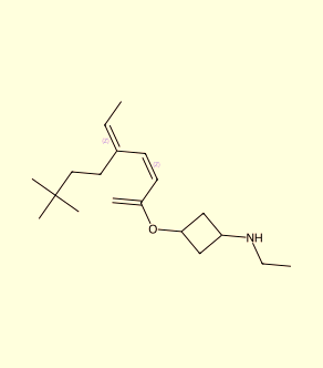 C=C(/C=C\C(=C/C)CCC(C)(C)C)OC1CC(NCC)C1